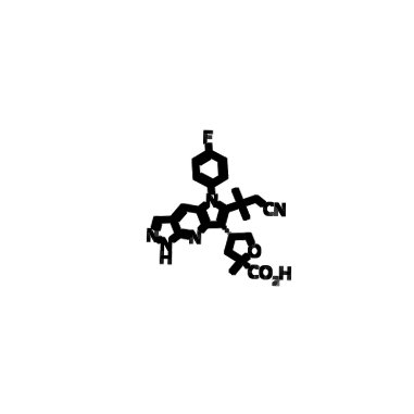 CC(C)(CC#N)c1c([C@@H]2CO[C@@](C)(C(=O)O)C2)c2nc3[nH]ncc3cc2n1-c1ccc(F)cc1